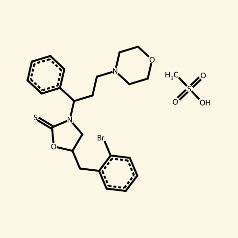 CS(=O)(=O)O.S=C1OC(Cc2ccccc2Br)CN1C(CCN1CCOCC1)c1ccccc1